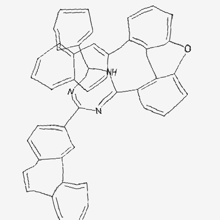 c1ccc(C2N=C(c3ccc4ccc5ccccc5c4c3)N=C(c3cccc4oc5cccc(-c6ccc7ccccc7c6)c5c34)N2)cc1